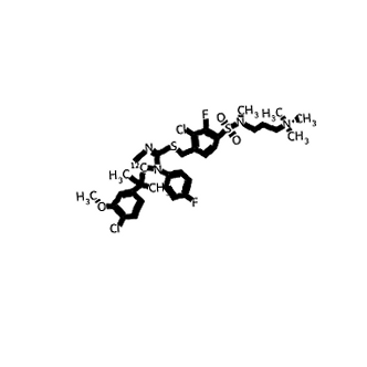 COc1cc(C(C)(C)[12c]2cnc(SCc3ccc(S(=O)(=O)N(C)CCC[N+](C)(C)C)c(F)c3Cl)n2-c2ccc(F)cc2)ccc1Cl